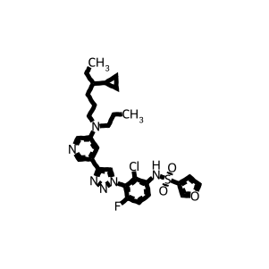 CCCN(CCCC(CC)C1CC1)c1cncc(-c2cn(-c3c(F)ccc(NS(=O)(=O)c4ccoc4)c3Cl)nn2)c1